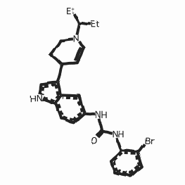 CCC(CC)N1C=CC(c2c[nH]c3ccc(NC(=O)Nc4ccccc4Br)cc23)CC1